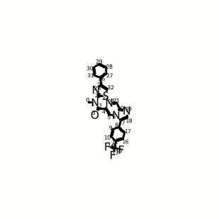 CN(C(=O)c1cn2c(-c3ccc(C(F)(F)F)cc3)cnc2cn1)c1nc(-c2ccccc2)cs1